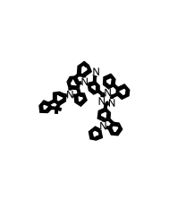 CC1(C)c2ccccc2-c2ccc(-n3c4ccccc4c4c3ccc3c5ccccc5n(-c5ccc(-c6nc(-c7ccc8c(c7)c7ccccc7n8-c7ccccc7)nc(-c7ccccc7-c7ccccc7)n6)cc5C#N)c34)cc21